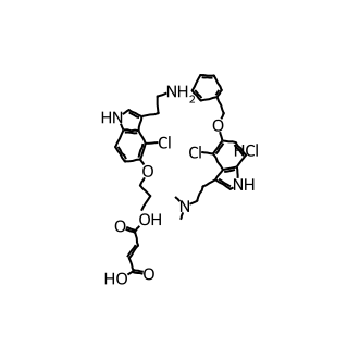 CCCOc1ccc2[nH]cc(CCN)c2c1Cl.CN(C)CCc1c[nH]c2ccc(OCc3ccccc3)c(Cl)c12.Cl.O=C(O)/C=C/C(=O)O